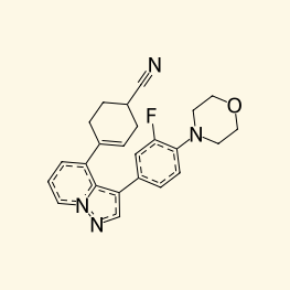 N#CC1CC=C(c2cccn3ncc(-c4ccc(N5CCOCC5)c(F)c4)c23)CC1